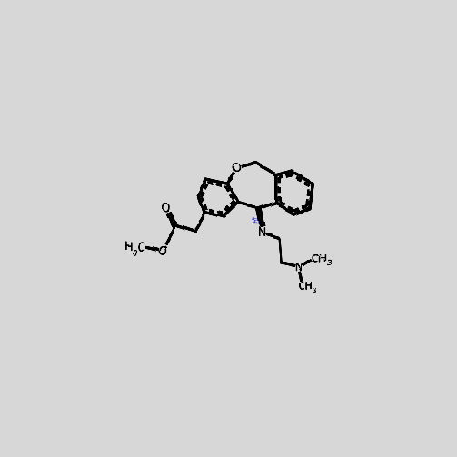 COC(=O)Cc1ccc2c(c1)/C(=N/CCN(C)C)c1ccccc1CO2